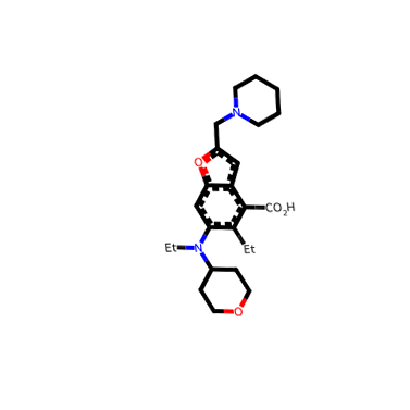 CCc1c(N(CC)C2CCOCC2)cc2oc(CN3CCCCC3)cc2c1C(=O)O